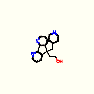 OCCC1(Cc2ccncc2)c2cccnc2-c2ncccc21